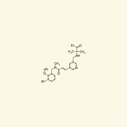 CCCOc1c(CN(C)C(=O)/C=C/c2cncc(CNC(C)(C)C(=O)CC)c2)cccc1C(C)C